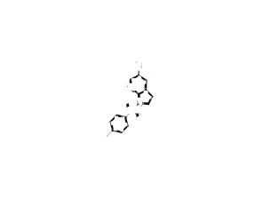 Cc1ccc(S(=O)(=O)n2ccc3cc(N)cnc32)cc1